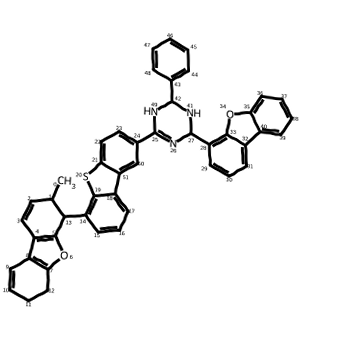 CC1C=Cc2c(oc3c2C=CCC3)C1c1cccc2c1sc1ccc(C3=NC(c4cccc5c4oc4ccccc45)NC(c4ccccc4)N3)cc12